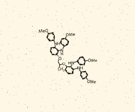 COc1ccc(Nc2cccc(OCC(C)Oc3cccc(Nc4ccc(OC)cc4)c3Nc3ccc(OC)cc3)c2Nc2ccc(OC)cc2)cc1